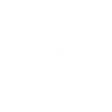 NS(=O)(=O)c1ccc(-c2ccc(/C=C3\SC(=S)N(Cc4cccc(Br)c4)C3=O)o2)cc1